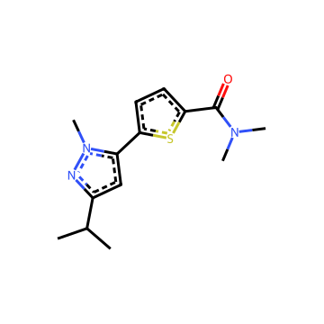 CC(C)c1cc(-c2ccc(C(=O)N(C)C)s2)n(C)n1